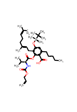 C=CCOC(=O)NC(C(=O)Oc1c(C/C=C(\C)CCC=C(C)C)c(O[Si](C)(C)C(C)(C)C)cc(CCCCC)c1C(=O)O)C(C)C